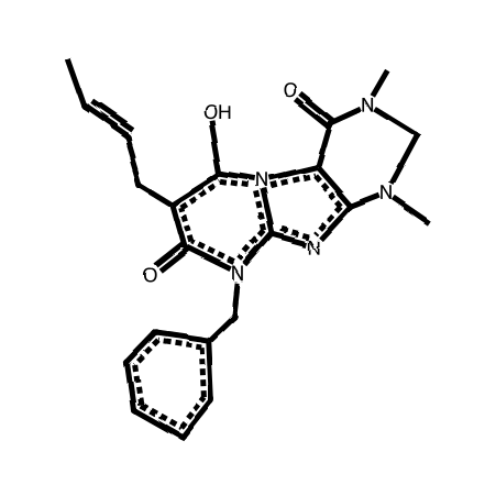 CC=CCc1c(O)n2c3c(nc2n(Cc2ccccc2)c1=O)N(C)CN(C)C3=O